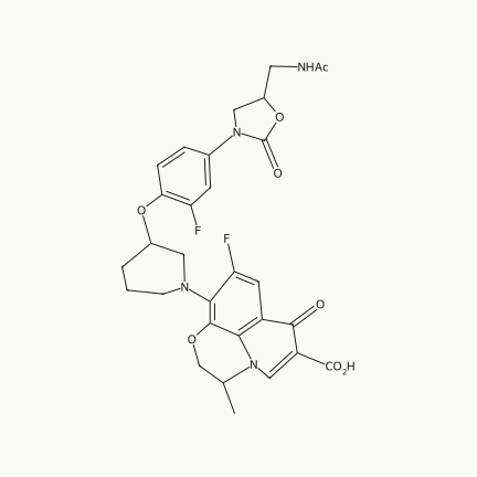 CC(=O)NCC1CN(c2ccc(OC3CCCN(c4c(F)cc5c(=O)c(C(=O)O)cn6c5c4OCC6C)C3)c(F)c2)C(=O)O1